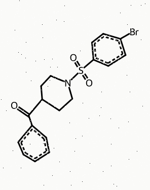 O=C(c1ccccc1)C1CCN(S(=O)(=O)c2ccc(Br)cc2)CC1